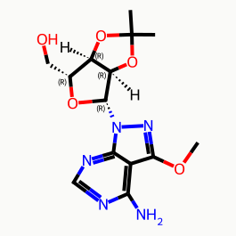 COc1nn([C@@H]2O[C@H](CO)[C@H]3OC(C)(C)O[C@H]32)c2ncnc(N)c12